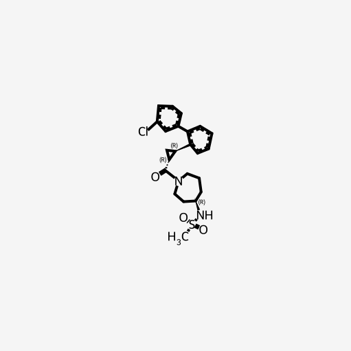 CS(=O)(=O)N[C@@H]1CCCN(C(=O)[C@@H]2C[C@H]2c2ccccc2-c2cccc(Cl)c2)CC1